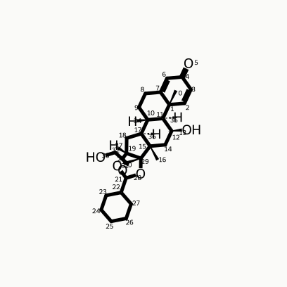 C[C@]12C=CC(=O)C=C1CC[C@@H]1[C@@H]2[C@@H](O)C[C@@]2(C)[C@H]1C[C@H]1OC(C3CCCCC3)O[C@]12C(=O)CO